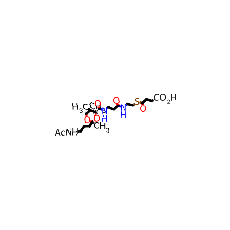 CC(=O)NCCCC1(C)OCC(C)(C)[C@H](C(=O)NCCC(=O)NCCSC(=O)CCC(=O)O)O1